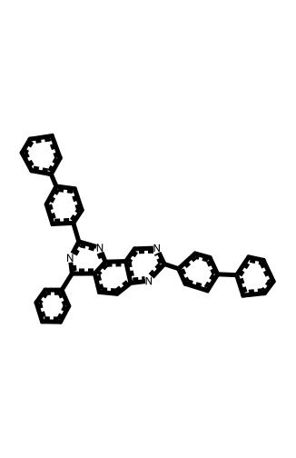 c1ccc(-c2ccc(-c3ncc4c(ccc5c(-c6ccccc6)nc(-c6ccc(-c7ccccc7)cc6)nc54)n3)cc2)cc1